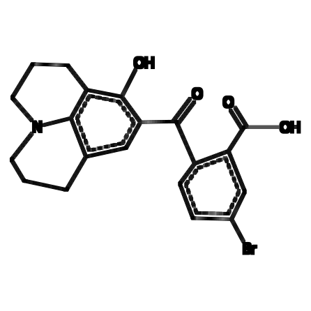 O=C(O)c1cc(Br)ccc1C(=O)c1cc2c3c(c1O)CCCN3CCC2